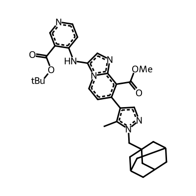 COC(=O)c1c(-c2cnn(CC34CC5CC(CC(C5)C3)C4)c2C)ccn2c(Nc3ccncc3C(=O)OC(C)(C)C)cnc12